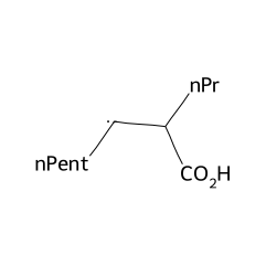 CCCCC[CH]C(CCC)C(=O)O